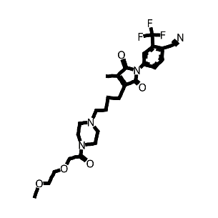 COCCOCC(=O)N1CCN(CCCCC2=C(C)C(=O)N(c3ccc(C#N)c(C(F)(F)F)c3)C2=O)CC1